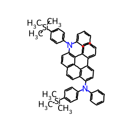 C[Si](C)(C)c1ccc(N(c2ccccc2)c2ccc3c4ccccc4c4c(N(c5ccccc5)c5ccc([Si](C)(C)C)cc5)ccc5ccc2c3c54)cc1